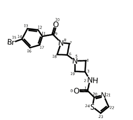 O=C(NC1CN(C2CN(C(=O)c3ccc(Br)cc3)C2)C1)c1nccs1